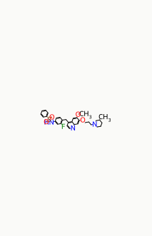 COc1cc2c(Cc3ccc(NS(=O)(=O)c4ccccc4)cc3F)ccnc2cc1OCCCN1CCCC(C)C1